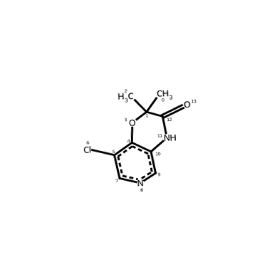 CC1(C)Oc2c(Cl)cncc2NC1=O